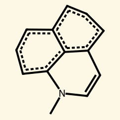 CN1C=Cc2cccc3cccc1c23